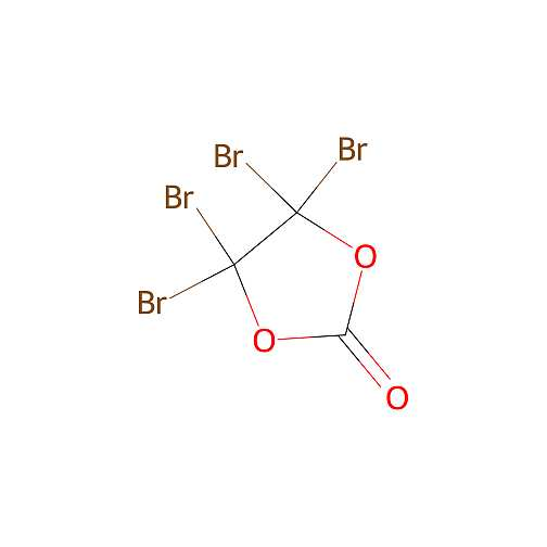 O=C1OC(Br)(Br)C(Br)(Br)O1